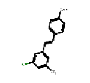 COc1ccc(/C=C/c2cc(Cl)cc(C(F)(F)F)c2)cc1